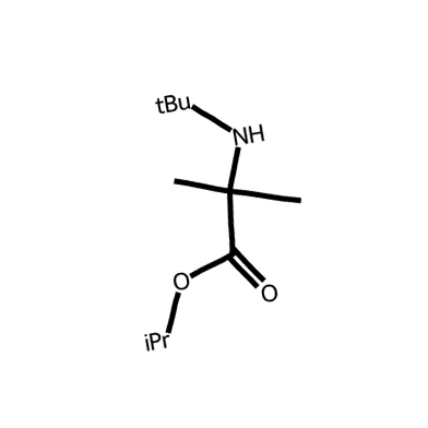 CC(C)OC(=O)C(C)(C)NC(C)(C)C